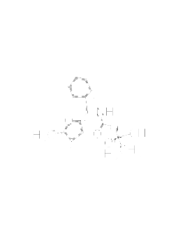 Cc1ccc([C@@H](NC(=O)OC(C)(C)C)c2ccccc2)o1